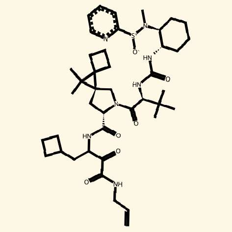 C=CCNC(=O)C(=O)C(CC1CCC1)NC(=O)[C@@H]1C[C@@]2(CN1C(=O)[C@@H](NC(=O)N[C@H]1CCCC[C@@H]1N(C)[S+]([O-])c1ccccn1)C(C)(C)C)C(C)(C)C21CCC1